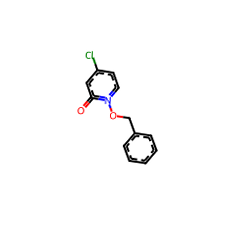 O=c1cc(Cl)ccn1OCc1ccccc1